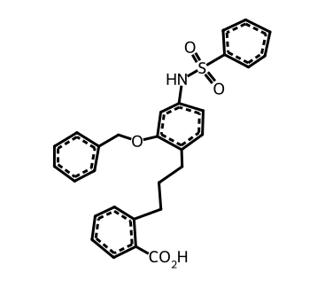 O=C(O)c1ccccc1CCCc1ccc(NS(=O)(=O)c2ccccc2)cc1OCc1ccccc1